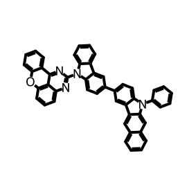 c1ccc(-n2c3ccc(-c4ccc5c(c4)c4ccccc4n5-c4nc5c6c(cccc6n4)Oc4ccccc4-5)cc3c3cc4ccccc4cc32)cc1